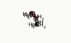 Cc1c(C(=O)Nc2ccc(-c3nc(-c4cccc(OCC(O)CO[Si](C)(C)CC(C)C)c4)cnc3N)cc2)c(=O)n(-c2ccccc2)n1C